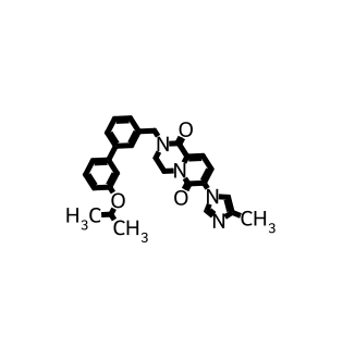 Cc1cn(-c2ccc3n(c2=O)CCN(Cc2cccc(-c4cccc(OC(C)C)c4)c2)C3=O)cn1